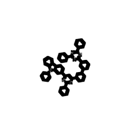 c1ccc(-c2nc(-c3cccc(-c4cccc(-c5nc(-c6ccccc6)nc(-c6ccccc6)n5)c4)c3)cc(-c3ccc4c5ccccc5n(-c5ccccc5)c4c3)n2)cc1